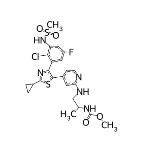 COC(=O)NC(C)CNc1cc(-c2sc(C3CC3)nc2-c2cc(F)cc(NS(C)(=O)=O)c2Cl)ccn1